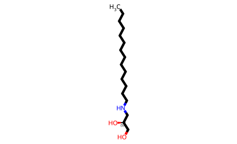 CCCCCCCCCCCCCCNC[C@H](O)CO